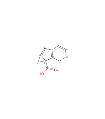 O=C(O)C12CC1=CC1=C2CCC=C1